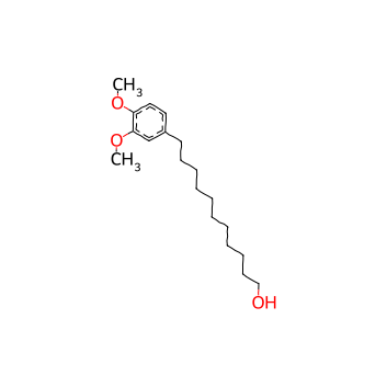 COc1ccc(CCCCCCCCCCCO)cc1OC